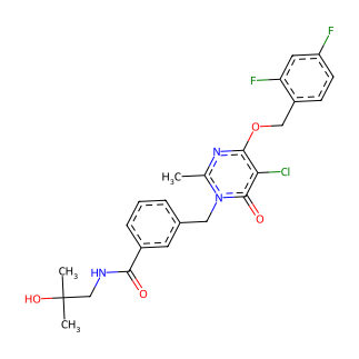 Cc1nc(OCc2ccc(F)cc2F)c(Cl)c(=O)n1Cc1cccc(C(=O)NCC(C)(C)O)c1